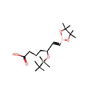 CC1(C)OB(/C=C/[C@H](CCCC(=O)O)O[Si](C)(C)C(C)(C)C)OC1(C)C